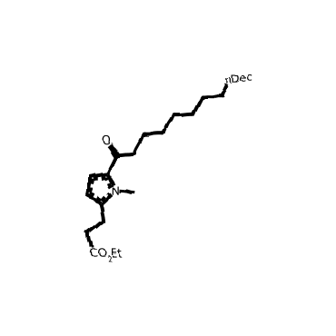 CCCCCCCCCCCCCCCCCC(=O)c1ccc(CCC(=O)OCC)n1C